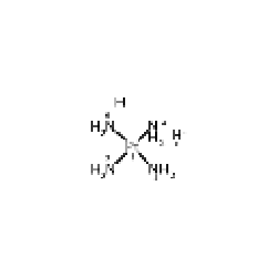 [H-].[H-].[NH2][Pt]([NH2])([NH2])[NH2]